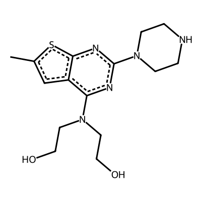 Cc1cc2c(N(CCO)CCO)nc(N3CCNCC3)nc2s1